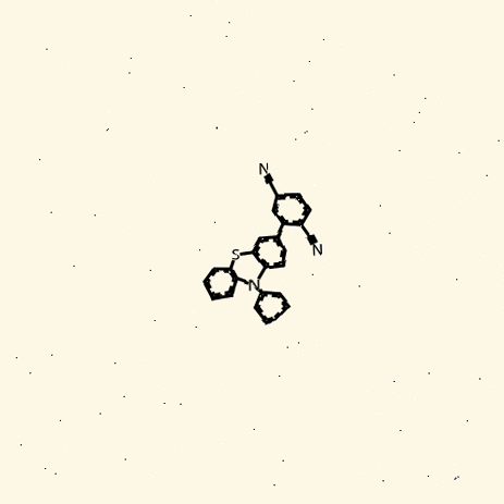 N#Cc1ccc(C#N)c(-c2ccc3c(c2)Sc2ccccc2N3c2ccccc2)c1